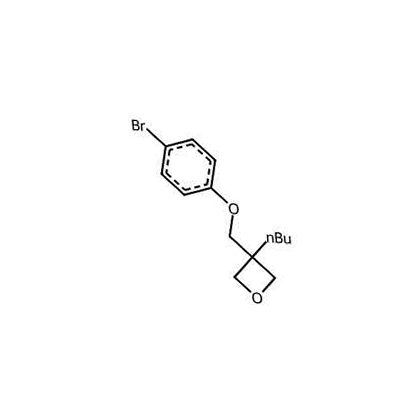 CCCCC1(COc2ccc(Br)cc2)COC1